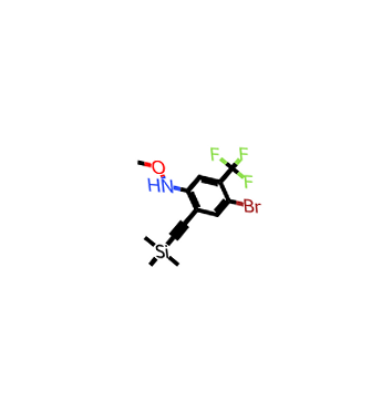 CONc1cc(C(F)(F)F)c(Br)cc1C#C[Si](C)(C)C